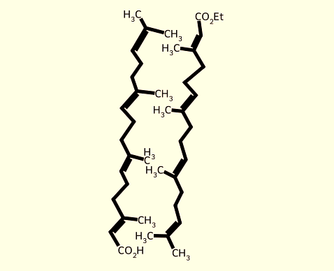 CC(C)=CCC/C(C)=C/CC/C(C)=C/CC/C(C)=C/C(=O)O.CCOC(=O)/C=C(\C)CC/C=C(\C)CC/C=C(\C)CCC=C(C)C